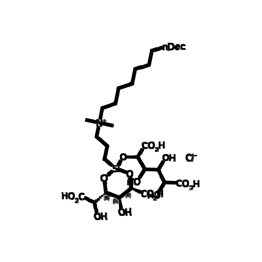 CCCCCCCCCCCCCCCCC[N+](C)(C)CCC[Si]1(OC(C(=O)O)C(O)C(O)C(O)C(=O)O)O[C@@H](C(=O)O)[C@@H](O)[C@H](C(O)C(=O)O)O1.[Cl-]